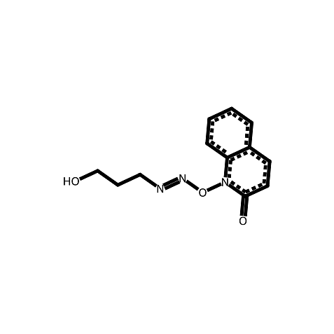 O=c1ccc2ccccc2n1ON=NCCCO